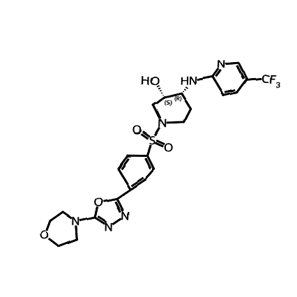 O=S(=O)(c1ccc(-c2nnc(N3CCOCC3)o2)cc1)N1CC[C@@H](Nc2ccc(C(F)(F)F)cn2)[C@@H](O)C1